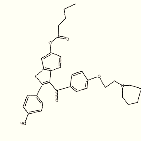 CCCCC(=O)Oc1ccc2c(C(=O)c3ccc(OCCN4CCCCC4)cc3)c(-c3ccc(O)cc3)sc2c1